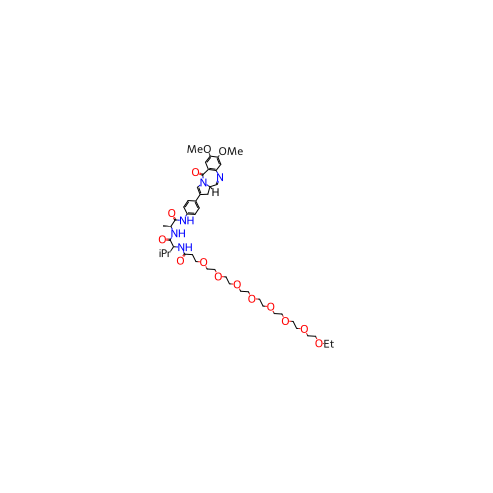 CCOCCOCCOCCOCCOCCOCCOCCOCCC(=O)NC(C(=O)N[C@@H](C)C(=O)Nc1ccc(C2=CN3C(=O)c4cc(OC)c(OC)cc4N=C[C@@H]3C2)cc1)C(C)C